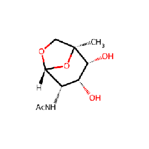 CC(=O)N[C@@H]1[C@@H]2OC[C@](C)(O2)[C@H](O)[C@@H]1O